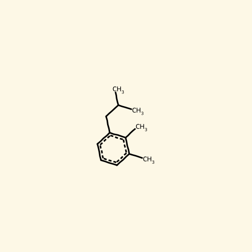 Cc1cccc(CC(C)C)c1C